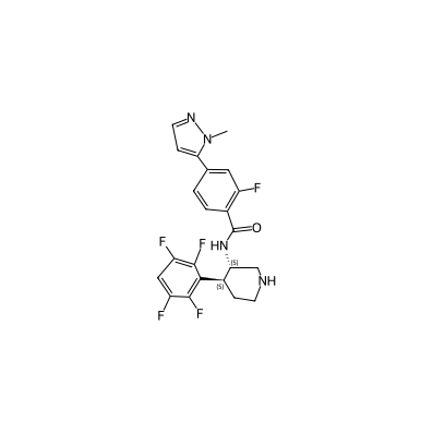 Cn1nccc1-c1ccc(C(=O)N[C@@H]2CNCC[C@H]2c2c(F)c(F)cc(F)c2F)c(F)c1